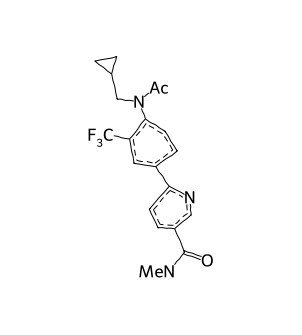 CNC(=O)c1ccc(-c2ccc(N(CC3CC3)C(C)=O)c(C(F)(F)F)c2)nc1